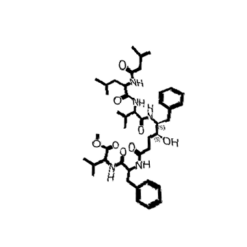 COC(=O)C(NC(=O)C(Cc1ccccc1)NC(=O)CC[C@H](O)[C@H](Cc1ccccc1)NC(=O)C(NC(=O)C(CC(C)C)NC(=O)CC(C)C)C(C)C)C(C)C